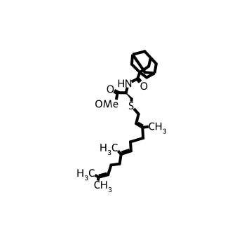 COC(=O)[C@H](CSC/C=C(\C)CC/C=C(\C)CCC=C(C)C)NC(=O)C12CC3CC(CC(C3)C1)C2